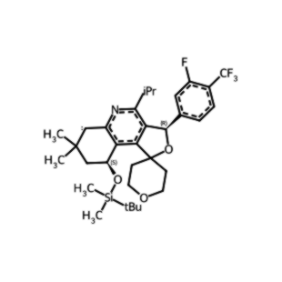 CC(C)c1nc2c(c3c1[C@@H](c1ccc(C(F)(F)F)c(F)c1)OC31CCOCC1)[C@@H](O[Si](C)(C)C(C)(C)C)CC(C)(C)[C]2